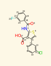 O=C(Nc1scc(-c2cccc(Cl)c2)c1C(=O)O)c1cccc(F)c1